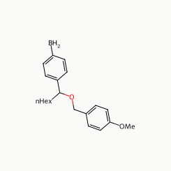 Bc1ccc(C(CCCCCC)OCc2ccc(OC)cc2)cc1